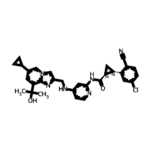 CC(C)(O)c1cc(C2CC2)cn2cc(CNc3ccnc(NC(=O)[C@H]4C[C@@H]4c4cc(Cl)ccc4C#N)c3)nc12